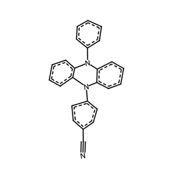 N#Cc1ccc(N2c3ccccc3N(c3ccccc3)c3ccccc32)cc1